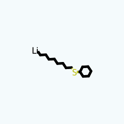 [Li][CH2]CCCCCCCSC1CCCCC1